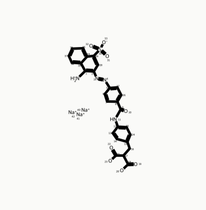 Nc1c(N=Nc2ccc(C(=O)Nc3ccc(CC(C(=O)[O-])C(=O)[O-])cc3)cc2)cc(S(=O)(=O)[O-])c2ccccc12.[Na+].[Na+].[Na+]